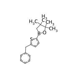 CC1(C)CB(c2ccc(Cc3ccccc3)s2)OC1(C)C